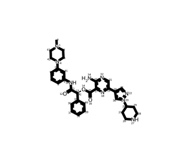 CN1CCN(c2cccc(NC(=O)[C@H](OC(=O)c3nc(-c4cnn(C5CCNCC5)c4)cnc3N)c3ccccc3)c2)CC1